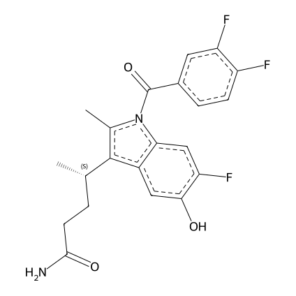 Cc1c([C@@H](C)CCC(N)=O)c2cc(O)c(F)cc2n1C(=O)c1ccc(F)c(F)c1